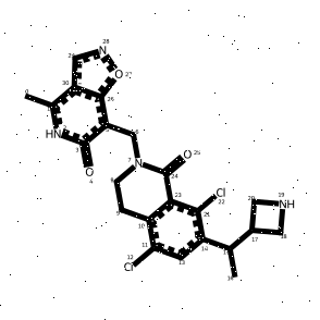 Cc1[nH]c(=O)c(CN2CCc3c(Cl)cc(C(C)C4CNC4)c(Cl)c3C2=O)c2oncc12